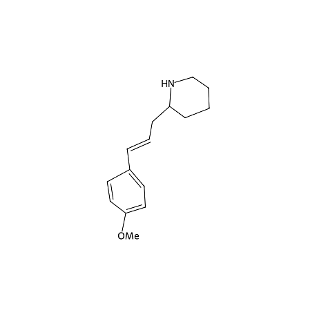 COc1ccc(/C=C/CC2CCCCN2)cc1